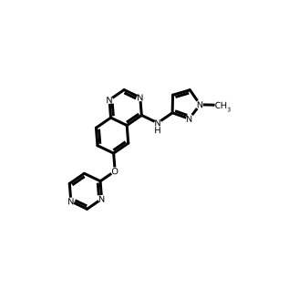 Cn1ccc(Nc2ncnc3ccc(Oc4ccncn4)cc23)n1